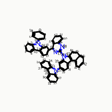 c1ccc(-n2c3ccccc3c3ccc(-c4nc(-n5c6cc(-n7c8ccccc8c8ccccc87)ccc6c6c7ccccc7ccc65)nc5ccccc45)cc32)cc1